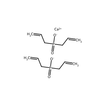 C=CCP(=O)([O-])CC=C.C=CCP(=O)([O-])CC=C.[Ca+2]